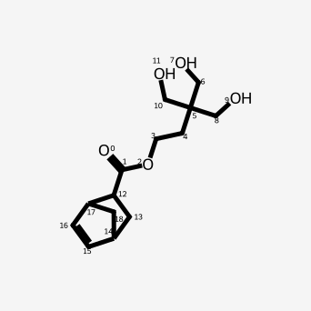 O=C(OCCC(CO)(CO)CO)C1CC2C=CC1C2